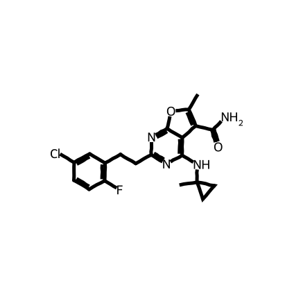 Cc1oc2nc(CCc3cc(Cl)ccc3F)nc(NC3(C)CC3)c2c1C(N)=O